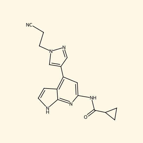 N#CCCn1cc(-c2cc(NC(=O)C3CC3)nc3[nH]ccc23)cn1